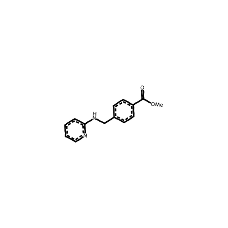 COC(=O)c1ccc(CNc2ccccn2)cc1